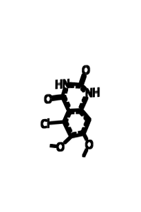 COc1cc2[nH]c(=O)[nH]c(=O)c2c(Cl)c1OC